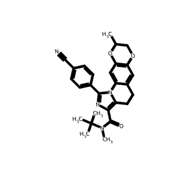 CC1COc2cc3c(cc2O1)-n1c(-c2ccc(C#N)cc2)nc(C(=O)N(C)C(C)(C)C)c1CC3